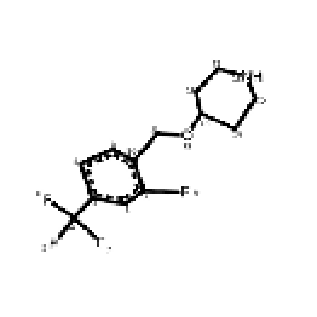 Fc1cc(C(F)(F)F)ccc1COC1CCNCC1